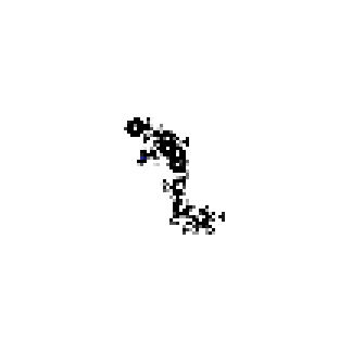 C/C=C(\C)C(=O)O[C@@H]1C[C@@H]2[C@@]3(C)CC[C@H](O[C@H]4C[C@H](OC)[C@H](O[C@H]5C[C@H](OC)[C@H](O[C@@H]6O[C@H](C)[C@@H](O)[C@@H](OC)[C@H]6O)[C@@H](C)O5)[C@@H](C)O4)CC3=CC[C@@]2(O)[C@@]2(O)CC[C@@](O)([C@H](C)OC(=O)c3ccccc3)[C@@]12C